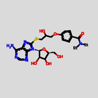 CCN(CC)C(=O)c1ccc(OCC(O)CSc2nc3c(N)ncnc3n2[C@@H]2O[C@H](CO)[C@@H](O)[C@H]2O)cc1